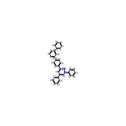 c1ccc(-c2cccc(-c3ccc(-c4cc(-c5ccccc5)cc(-c5ccccc5)n4)cc3)c2)cc1